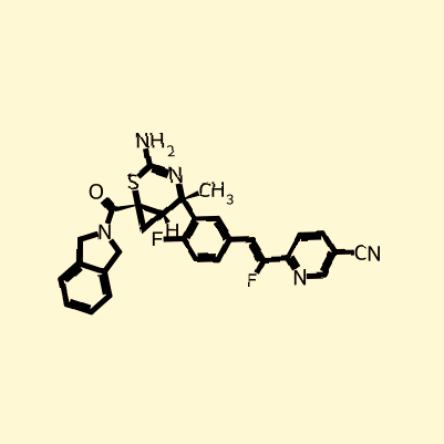 C[C@]1(c2cc(/C=C(\F)c3ccc(C#N)cn3)ccc2F)N=C(N)S[C@@]2(C(=O)N3Cc4ccccc4C3)C[C@H]21